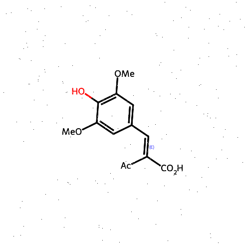 COc1cc(/C=C(\C(C)=O)C(=O)O)cc(OC)c1O